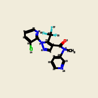 CN(C(=O)c1cnn(-c2ncccc2Cl)c1C(F)(F)F)c1cccnc1